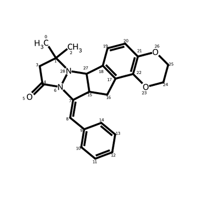 CC1(C)CC(=O)N2/C(=C/c3ccccc3)C3Cc4c(ccc5c4OCCO5)C3N21